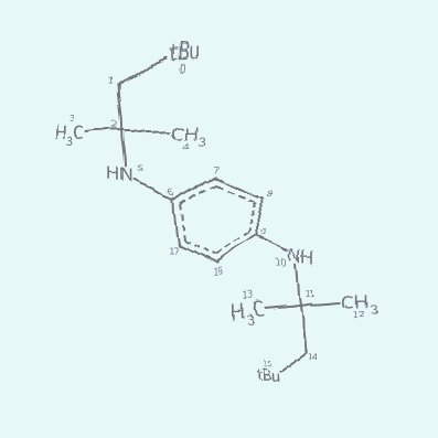 CC(C)(C)CC(C)(C)Nc1ccc(NC(C)(C)CC(C)(C)C)cc1